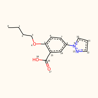 CCCCOc1ccc(-n2cccn2)cc1C(=O)O